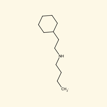 [CH2]CCCNCCC1CCCCC1